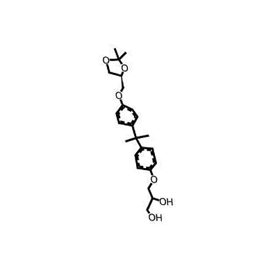 CC1(C)OC[C@H](COc2ccc(C(C)(C)c3ccc(OCC(O)CO)cc3)cc2)O1